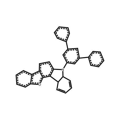 C1=CC2c3c(ccc4c3oc3ccccc34)N(c3cc(-c4ccccc4)cc(-c4ccccc4)c3)C2C=C1